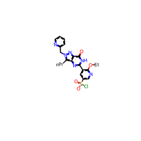 CCCc1c2nc(-c3cc(S(=O)(=O)Cl)cnc3OCC)[nH]c(=O)c2nn1Cc1ccccn1